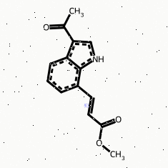 COC(=O)/C=C/c1cccc2c(C(C)=O)c[nH]c12